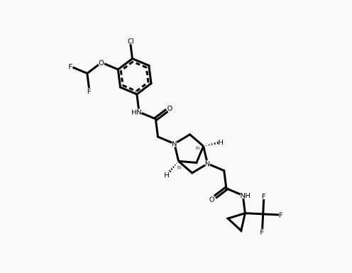 O=C(CN1C[C@@H]2C[C@H]1CN2CC(=O)NC1(C(F)(F)F)CC1)Nc1ccc(Cl)c(OC(F)F)c1